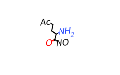 CC(=O)CCC(N)C(=O)N=O